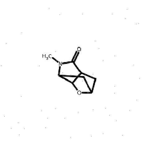 CN1C(=O)C2CC3CC1C2O3